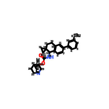 CC(C)(C)c1cccc(-c2ccc3c(c2)CCC2(CC2)C3NC(=O)O[C@H]2CN3CCC2CC3)c1